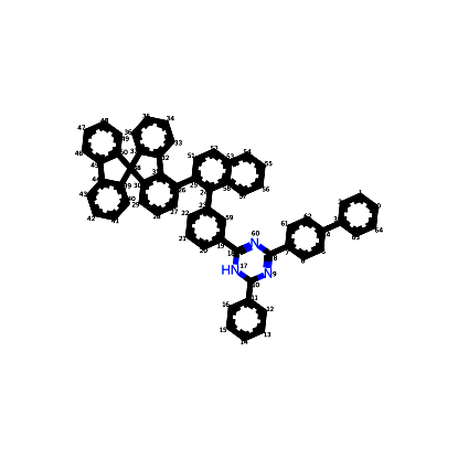 c1ccc(-c2ccc(C3=NC(c4ccccc4)NC(c4cccc(-c5c(-c6cccc7c6-c6ccccc6C76c7ccccc7-c7ccccc76)ccc6ccccc56)c4)=N3)cc2)cc1